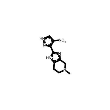 CN1CCc2[nH]c(-c3n[nH]cc3[N+](=O)[O-])nc2C1